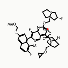 CCc1c(F)ccc2cc(OCOC)cc(-c3ncc4c(N5C[C@@H]6CC[C@](COC7CC7)(C5)N6C(=O)OC(C)(C)C)nc(OC[C@@]56CCCN5C[C@H](F)C6)nc4c3F)c12